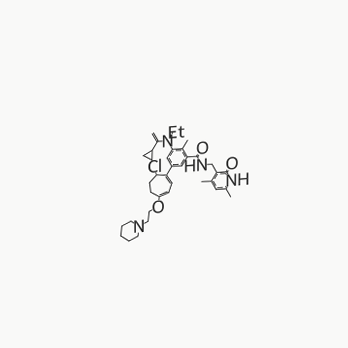 C=C(C1CC1)N(CC)c1cc(C2=CC=C(OCCN3CCCCC3)CCC2Cl)cc(C(=O)NCc2c(C)cc(C)[nH]c2=O)c1C